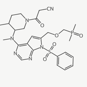 CC1CCN(C(=O)CC#N)CC1N(C)c1ncnc2c1cc(COCP(C)(C)=O)n2S(=O)(=O)c1ccccc1